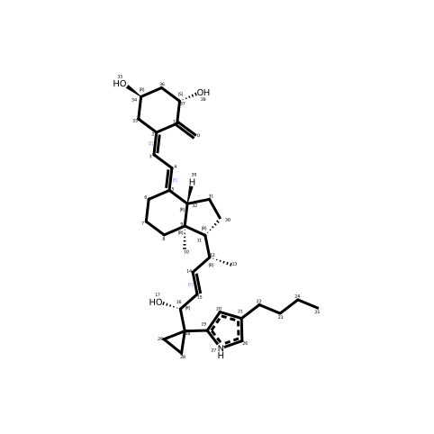 C=C1/C(=C\C=C2/CCC[C@]3(C)[C@@H]([C@H](C)/C=C/[C@@H](O)C4(c5cc(CCCC)c[nH]5)CC4)CC[C@@H]23)C[C@@H](O)C[C@@H]1O